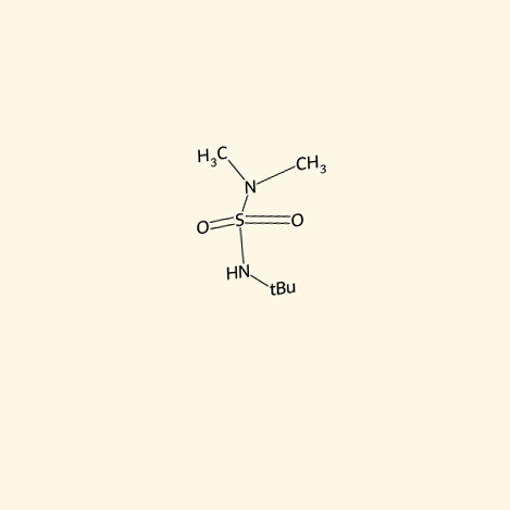 CN(C)S(=O)(=O)NC(C)(C)C